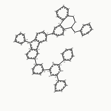 c1ccc(CC2CCc3ccccc3-c3cc(-c4ccc5c(c4)c4cc(-c6cccc(-c7nc(-c8ccccc8)nc(-c8ccccc8)n7)c6)ccc4n5-c4ccccc4)ccc32)cc1